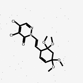 COC1(OC)C=CC(C=Cn2ncc(Cl)c(Cl)c2=O)C(OC)(OC)C1